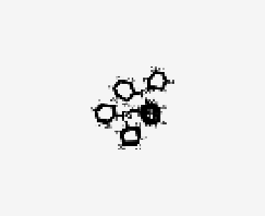 c1ccc(P(C[C]23[CH]4[CH]5[CH]6[C]2(P(C2CCCCC2)C2CCCCC2)[Fe]54632789[CH]3[CH]2[CH]7[CH]8[CH]39)c2ccccc2)cc1